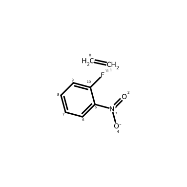 C=C.O=[N+]([O-])c1ccccc1F